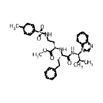 COC(=O)[C@@H](CCNS(=O)(=O)c1ccc(C)cc1)N[C@@H](CCc1ccccc1)C(=O)N[C@H](C(C)C)n1cnc2ccccc21